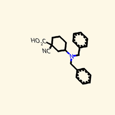 N#CC1(C(=O)O)CCCC(N(Cc2ccccc2)Cc2ccccc2)C1